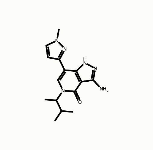 CC(C)C(C)n1cc(-c2ccn(C)n2)c2[nH]nc(N)c2c1=O